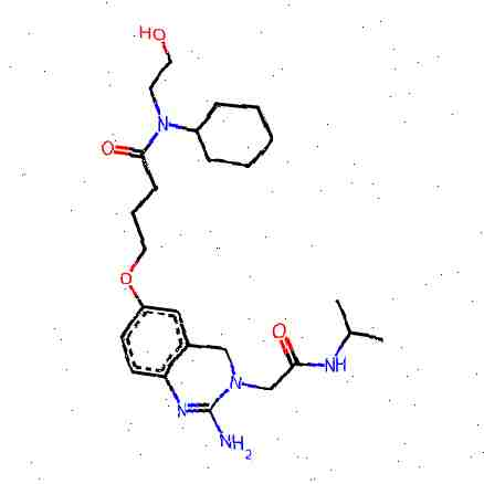 CC(C)NC(=O)CN1Cc2cc(OCCCC(=O)N(CCO)C3CCCCC3)ccc2N=C1N